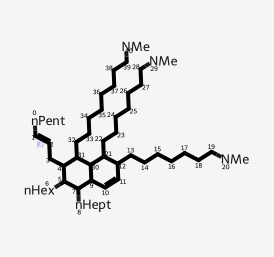 CCCCC/C=C/CC1C(CCCCCC)C(CCCCCCC)C2C=CC(CCCCCCCNC)C(CCCCCCCNC)C2C1CCCCCCCCNC